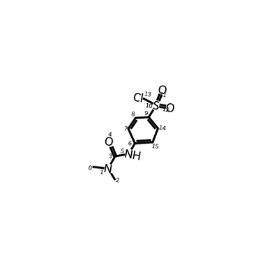 CN(C)C(=O)Nc1ccc(S(=O)(=O)Cl)cc1